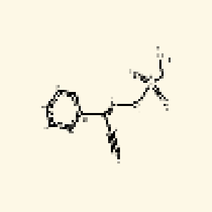 CCS(=O)(=O)ON=C(C#N)c1ccccc1